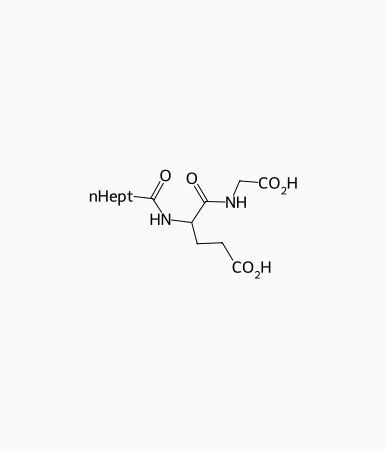 CCCCCCCC(=O)NC(CCC(=O)O)C(=O)NCC(=O)O